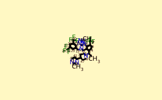 CCC(c1ccc(C(F)(F)F)cc1CN(Cc1cc(C(F)(F)F)cc(C(F)(F)F)c1)c1nnn(C)n1)N1CCC(c2ccnc(C)n2)CC1